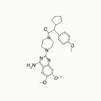 COc1ccc(C(C(=O)N2CCN(c3nc(N)c4cc(OC)c(OC)cc4n3)CC2)C2CCCC2)cc1